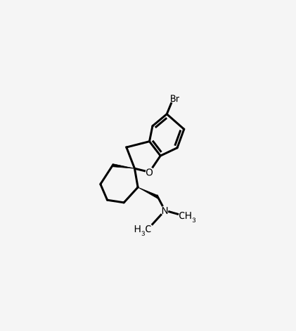 CN(C)C[C@H]1CCCC[C@]12Cc1cc(Br)ccc1O2